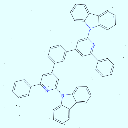 c1ccc(-c2cc(-c3cccc(-c4cc(-c5ccccc5)nc(-n5c6ccccc6c6ccccc65)c4)c3)cc(-n3c4ccccc4c4ccccc43)n2)cc1